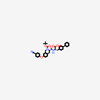 CC(C)(C)OC(=O)N1Cc2cc(Oc3ccc(C#N)cc3)ccc2C[C@H]1C(=O)N[C@@H](Cc1ccc(-c2ccccc2)cc1)C(=O)O